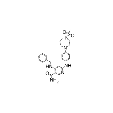 CS(=O)(=O)N1CCCN(c2ccc(Nc3cc(NCc4ccccc4)c(C(N)=O)cn3)cc2)CC1